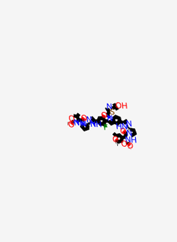 COC(=O)NC(C(=O)N1CCC[C@H]1c1ncc(-c2cc(F)c3c(c2)OC(c2cnc(C(C)(C)O)s2)n2c-3cc3cc(-c4cnc([C@@H]5CCCN5C(=O)C(NC(=O)OC)C5C=C(C)O[C@@H](C)C5)[nH]4)ccc32)[nH]1)C(C)C